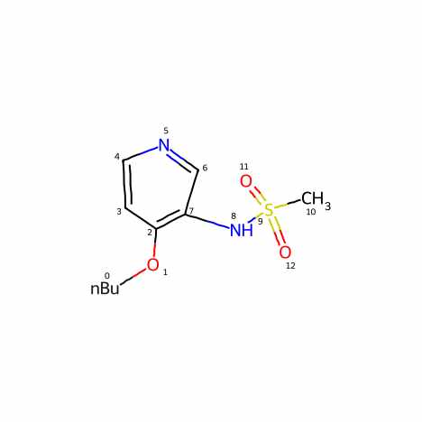 CCCCOc1ccncc1NS(C)(=O)=O